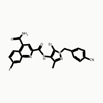 CCc1c(NC(=O)c2cc(C(N)=O)c3ccc(F)cc3n2)c(C)nn1Cc1ccc(C#N)cc1